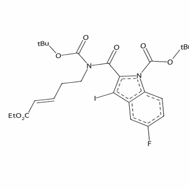 CCOC(=O)/C=C/CCN(C(=O)OC(C)(C)C)C(=O)c1c(I)c2cc(F)ccc2n1C(=O)OC(C)(C)C